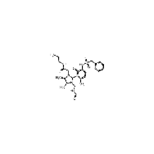 C=C1C(C)N(CNC=O)C(n2c(C)ccc(NS(=O)(=O)Cc3ccccc3)c2=O)N1CC(=O)NCCN